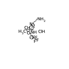 CC(C)Oc1cc2nc(CCCN)cn2cc1NC(=O)c1cccc(C(F)(F)F)n1.Cl